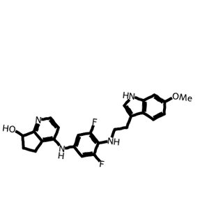 COc1ccc2c(CCNc3c(F)cc(Nc4ccnc5c4CCC5O)cc3F)c[nH]c2c1